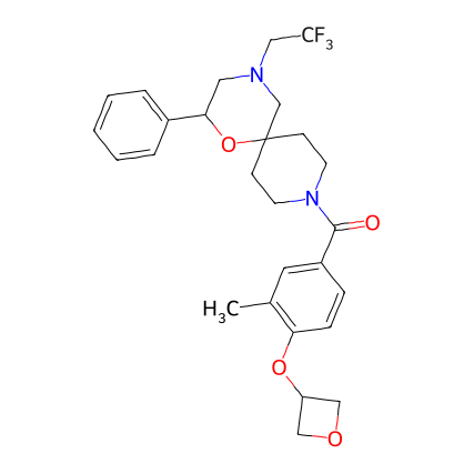 Cc1cc(C(=O)N2CCC3(CC2)CN(CC(F)(F)F)CC(c2ccccc2)O3)ccc1OC1COC1